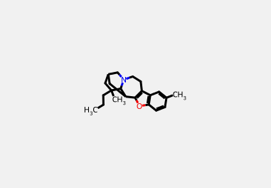 CCCC1(C)CC2CC3c4oc5ccc(C)cc5c4CCN(C2)C31